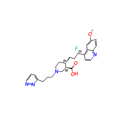 COc1ccc2nccc([C@@H](F)CC[C@@H]3CCN(CCCc4cccnn4)C[C@@H]3C(=O)O)c2c1